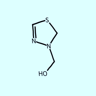 OCN1CSC=N1